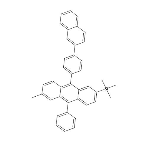 Cc1ccc2c(-c3ccc(-c4ccc5ccccc5c4)cc3)c3cc([Si](C)(C)C)ccc3c(-c3ccccc3)c2c1